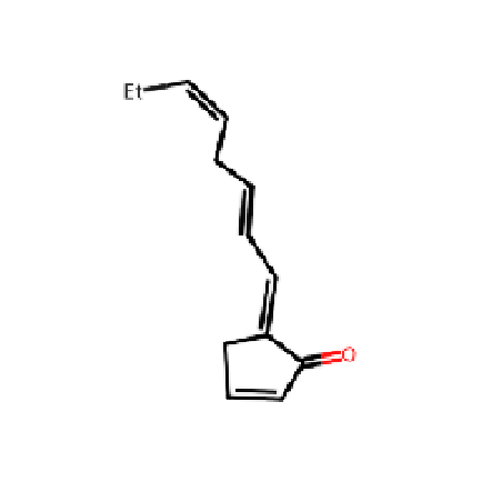 CC/C=C\C/C=C/C=C1\CC=CC1=O